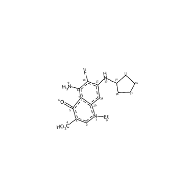 CCn1cc(C(=O)O)c(=O)c2c(N)c(F)c(NC3CCCC3)cc21